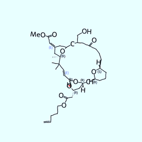 C=CCCCOC(=O)C[C@H]1C[C@H]2C[C@H]3CCC[C@@H](CCCC(=O)CC(CO)CC4C/C(=C\C(=O)OC)C[C@@](C)(O4)C(C)(C)/C=C/[C@H](O2)O1)O3